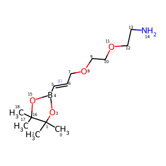 CC1(C)OB(/C=C/COCCOCCN)OC1(C)C